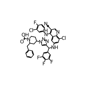 N#Cc1cnc2c(Cl)cc(NC(c3cc(F)c(F)c(F)c3)c3cn(C4CCN(C(=O)O)C(Cc5ccccc5)C4)nn3)cc2c1Nc1ccc(F)c(Cl)c1